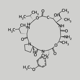 CC[C@H](C)[C@H]1NC(=O)[C@@H](N)[C@@H](C)OC(=O)[C@H](Cc2ccc(OC)cc2)N(C)C(=O)[C@@H]2CCCN2C(=O)[C@H](CC(C)C)NC[C@H](C(C)C)OC(=O)C[C@@H]1O